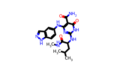 CNC(=O)C(CC(C)C)Nc1nc(Nc2ccc3[nH]ncc3c2)c(C(N)=O)c(=O)[nH]1